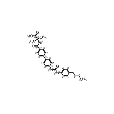 CCCCc1ccc(NC(=O)Nc2ccc(-c3ccc(C(=O)NC(C)(C)C(=O)O)cc3)cc2)cc1